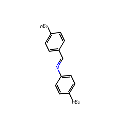 CCCCc1ccc(C=Nc2ccc(CCCC)cc2)cc1